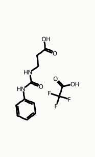 O=C(O)C(F)(F)F.O=C(O)CCNC(=O)Nc1ccccc1